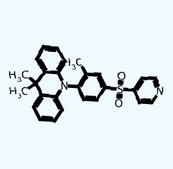 Cc1cc(S(=O)(=O)c2ccncc2)ccc1N1c2ccccc2C(C)(C)c2ccccc21